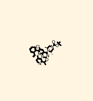 C=Cc1ccccc1-c1nc2c(cc1Cl)c(N1[C@@H](C)CN(C(=O)OC(C)(C)C)C[C@@H]1C)nc(=O)n2-c1c(C)ccnc1C(C)C